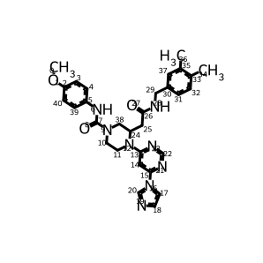 COc1ccc(NC(=O)N2CCN(c3cc(-n4ccnc4)ncn3)C(CC(=O)NCc3ccc(C)c(C)c3)C2)cc1